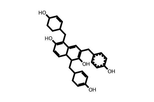 OC1=CCC(CC2C(O)=C(Cc3ccc(O)cc3)C=C3C(CC4C=CC(O)CC4)=C(O)C=CC32)C=C1